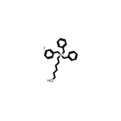 OCCCCCC[N+](Cc1ccccc1)(Cc1ccccc1)Cc1ccccc1.[I-]